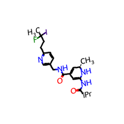 CC(C)C(=O)NC1=CC(C(=O)NCc2ccc(CCC(C)(F)I)nc2)=C[C@H](C)N1